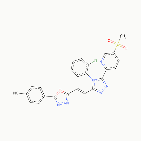 CS(=O)(=O)c1ccc(-c2nnc(C=Cc3nnc(-c4ccc(C#N)cc4)o3)n2-c2ccccc2Cl)nc1